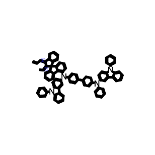 C=C/C=C1\C(=C/C)C2(c3ccccc31)c1ccccc1-c1c(N(c3ccc(C4=CC=C(N(c5ccccc5)c5ccc6c(c5)c5ccccc5n6-c5ccccc5)CC4)cc3)c3ccc4c(c3)c3ccccc3n4-c3ccccc3)cccc12